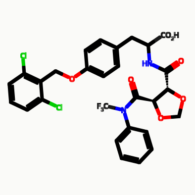 O=C(O)C(Cc1ccc(OCc2c(Cl)cccc2Cl)cc1)NC(=O)[C@@H]1OCO[C@H]1C(=O)N(c1ccccc1)C(F)(F)F